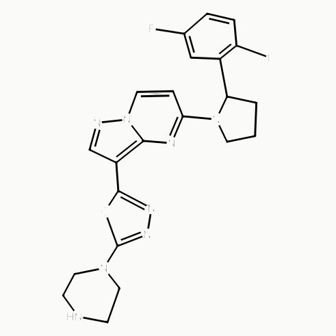 Fc1ccc(F)c(C2CCCN2c2ccn3ncc(-c4nnc(N5CCNCC5)o4)c3n2)c1